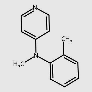 Cc1ccccc1N(C)c1ccncc1